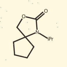 CC(C)N1C(=O)OCC12CCCC2